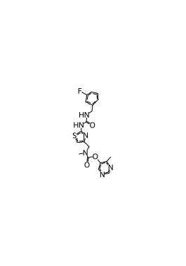 Cc1ncncc1OC(=O)N(C)Cc1csc(NC(=O)NCc2cccc(F)c2)n1